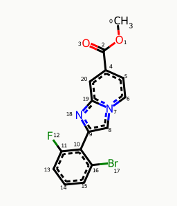 COC(=O)c1ccn2cc(-c3c(F)cccc3Br)nc2c1